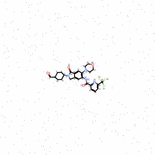 O=CC1CCC(N2Cc3cc(NC(=O)c4cccc(C(F)(F)F)n4)c(N4CCOCC4)cc3C2=O)CC1